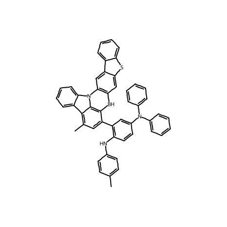 Cc1ccc(Nc2ccc(N(c3ccccc3)c3ccccc3)cc2-c2cc(C)c3c4ccccc4n4c3c2Bc2cc3sc5ccccc5c3cc2-4)cc1